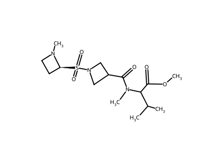 COC(=O)C(C(C)C)N(C)C(=O)C1CN(S(=O)(=O)[C@H]2CCN2C)C1